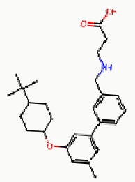 Cc1cc(OC2CCC(C(C)(C)C)CC2)cc(-c2cccc(CNCCC(=O)O)c2)c1